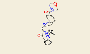 CC(=O)N1/C(=C\c2ccc3ccc(C(=O)N4CCOCC4)cc3n2)C(=O)c2ccccc21